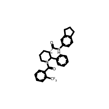 O=C(Nc1ccc2c(c1)CCC2)[C@H]1CCCN(C(=O)c2ccccc2C(F)(F)F)C1c1ccccc1